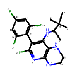 CC(Nc1c2c(nc(F)c1-c1c(F)cc(F)cc1F)NCCN2)C(C)(C)C